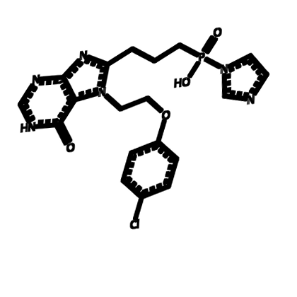 O=c1[nH]cnc2nc(CCCP(=O)(O)n3ccnc3)n(CCOc3ccc(Cl)cc3)c12